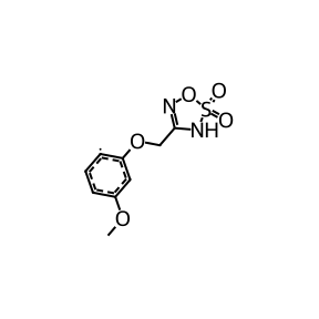 COc1cc[c]c(OCC2=NOS(=O)(=O)N2)c1